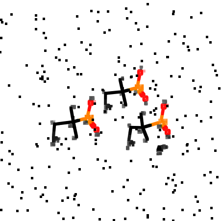 CC(C)CC(C)(C)[PH](=O)[O-].CC(C)CC(C)(C)[PH](=O)[O-].CC(C)CC(C)(C)[PH](=O)[O-].[Al+3]